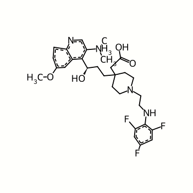 COc1ccc2ncc(N(C)C)c([C@H](O)CCC3(CC(=O)O)CCN(CCNc4c(F)cc(F)cc4F)CC3)c2c1